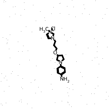 C[N+]1(Cl)C=CN(CCCOC2CCN(c3ccc(N)cc3)C2)C1